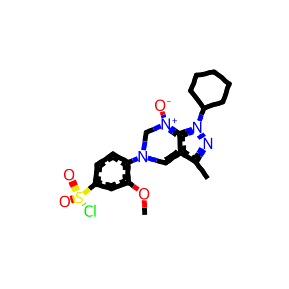 COc1cc(S(=O)(=O)Cl)ccc1N1C=c2c(C)nn(C3CCCCC3)c2=[N+]([O-])C1